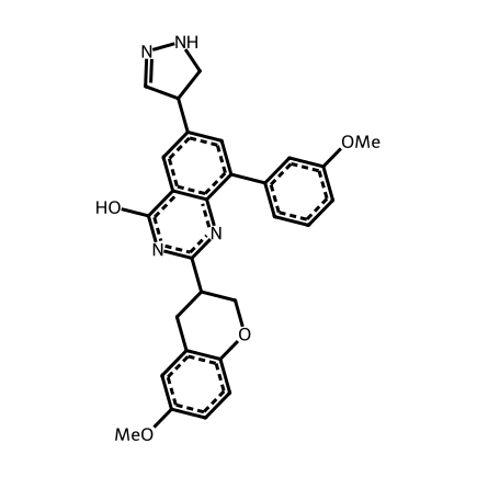 COc1cccc(-c2cc(C3C=NNC3)cc3c(O)nc(C4COc5ccc(OC)cc5C4)nc23)c1